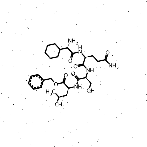 CC(C)C[C@H](NC(=O)[C@H](CO)NC(=O)[C@H](CCC(N)=O)NC(=O)[C@@H](N)C1CCCCC1)C(=O)OCc1ccccc1